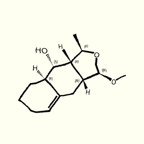 CO[C@@H]1O[C@H](C)[C@H]2[C@@H](O)[C@@H]3CCCC=C3C[C@@H]12